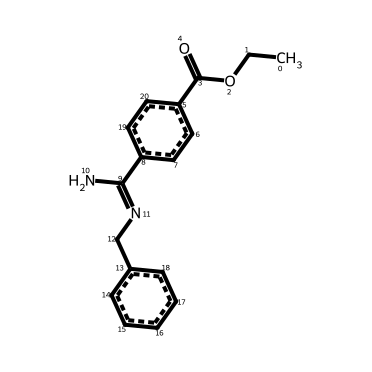 CCOC(=O)c1ccc(C(N)=NCc2ccccc2)cc1